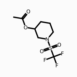 CC(=O)OC1CCCN(S(=O)(=O)C(F)(F)F)C1